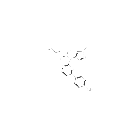 Cn1cc(N(c2nccc(-c3ccc(N)cc3)n2)S(=O)(=O)CCCF)cn1